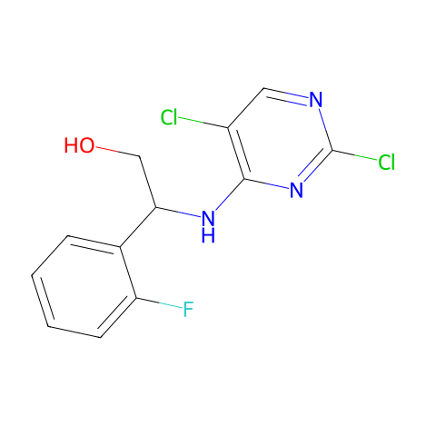 OCC(Nc1nc(Cl)ncc1Cl)c1ccccc1F